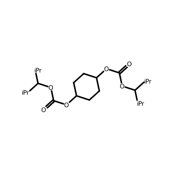 CC(C)C(OC(=O)OC1CCC(OC(=O)OC(C(C)C)C(C)C)CC1)C(C)C